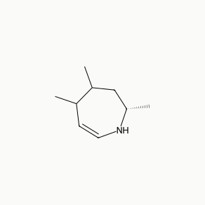 CC1C=CN[C@@H](C)CC1C